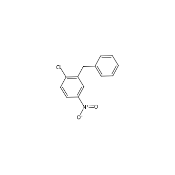 O=[N+]([O-])c1ccc(Cl)c(Cc2ccccc2)c1